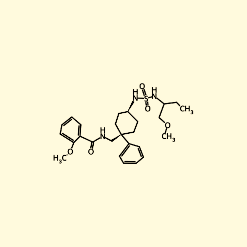 CCC(COC)NS(=O)(=O)N[C@H]1CC[C@](CNC(=O)c2ccccc2OC)(c2ccccc2)CC1